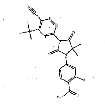 CC1(C)C(=O)N(c2nnc(C#N)c(C(F)(F)F)n2)C(=S)N1c1ccc(C(N)=O)c(F)c1